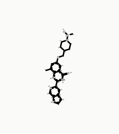 Cc1cc(OCC2CCN([S+](C)[O-])CC2)cc2c(=O)[nH]c(-c3cc4ccsc4cn3)nc12